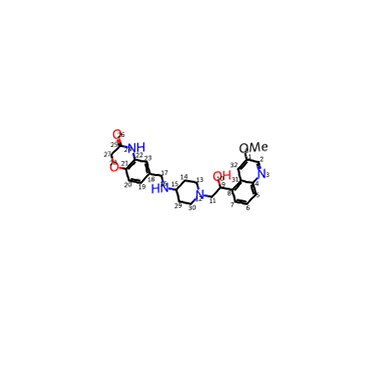 COc1cnc2cccc(C(O)CN3CCC(NCc4ccc5c(c4)NC(=O)CO5)CC3)c2c1